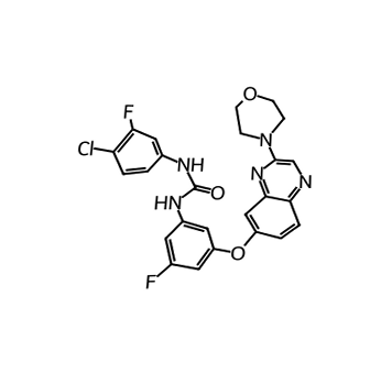 O=C(Nc1cc(F)cc(Oc2ccc3ncc(N4CCOCC4)nc3c2)c1)Nc1ccc(Cl)c(F)c1